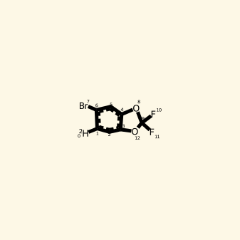 [2H]c1cc2c(cc1Br)OC(F)(F)O2